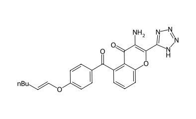 CCCCC=COc1ccc(C(=O)c2cccc3oc(-c4nnn[nH]4)c(N)c(=O)c23)cc1